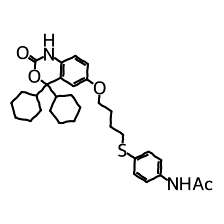 CC(=O)Nc1ccc(SCCCCOc2ccc3c(c2)C(C2CCCCC2)(C2CCCCC2)OC(=O)N3)cc1